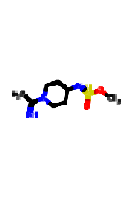 CO[SH](=O)=NC1CCN(C(C)=N)CC1